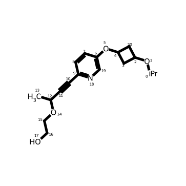 CC(C)OC1CC(Oc2ccc(C#CC(C)OCCO)nc2)C1